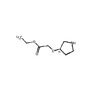 CCOC(=O)CO[C@@H]1CCNC1